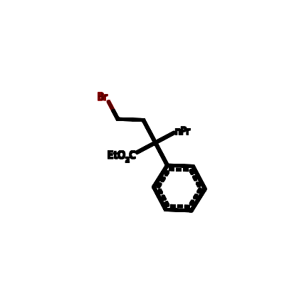 CCCC(CCBr)(C(=O)OCC)c1ccccc1